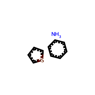 N.c1ccccc1.c1ccsc1